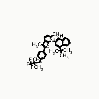 Cc1c(-[n+]2c(C)ccc3c(C)c(-c4ccc(CC(C)(C)C(F)(F)F)cc4)sc32)cc(C(C)(C)C)c2ccccc12